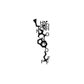 CNS(=O)(=O)Nc1c2c(nn1CCC1CC1)C[C@]1(CCc3cc(OCCCC(F)(F)F)ccc31)NC2=O